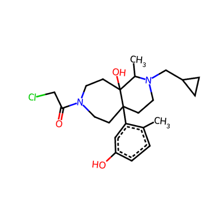 Cc1ccc(O)cc1C12CCN(C(=O)CCl)CCC1(O)C(C)N(CC1CC1)CC2